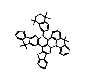 CC1(C)CCC(C)(C)c2cc(N3B4c5cccc6c5N(c5ccccc5C6(C)C)c5cc6c(sc7ccccc76)c(c54)-c4cc5c(cc43)-c3ccccc3C5(C)C)ccc21